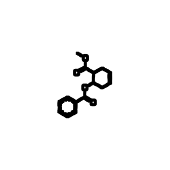 COC(=O)C1CC=CCC1OC(=O)c1ccccc1